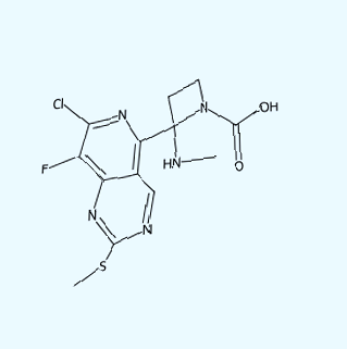 CNC1(c2nc(Cl)c(F)c3nc(SC)ncc23)CCN1C(=O)O